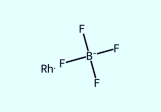 F[B-](F)(F)F.[Rh]